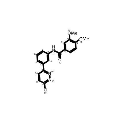 COc1ccc(C(=O)Nc2cccc(-c3ccc(Cl)nn3)c2)cc1OC